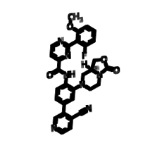 COc1cccc(F)c1-c1nccc(C(=O)Nc2ccc(-c3cnccc3C#N)cc2N2CCN3C(=O)OC[C@H]3C2)n1